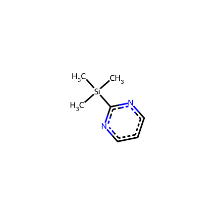 C[Si](C)(C)c1ncccn1